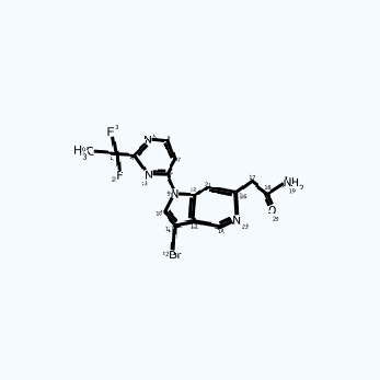 CC(F)(F)c1nccc(-n2cc(Br)c3cnc(CC(N)=O)cc32)n1